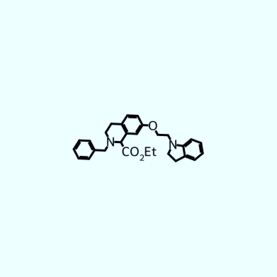 CCOC(=O)C1c2cc(OCCN3CCc4ccccc43)ccc2CCN1Cc1ccccc1